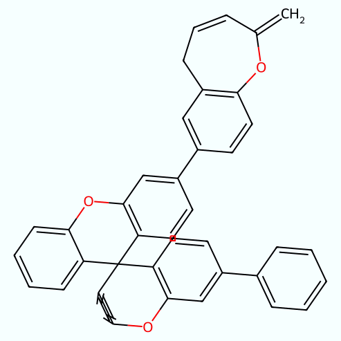 C=C1C=CCc2cc(-c3ccc4c(c3)Oc3ccccc3C43c4ccccc4Oc4cc(-c5ccccc5)ccc43)ccc2O1